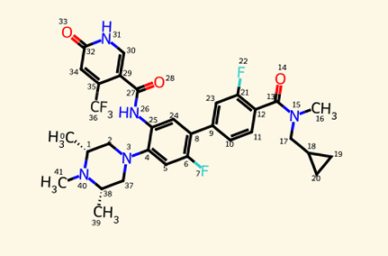 C[C@@H]1CN(c2cc(F)c(-c3ccc(C(=O)N(C)CC4CC4)c(F)c3)cc2NC(=O)c2c[nH]c(=O)cc2C(F)(F)F)C[C@H](C)N1C